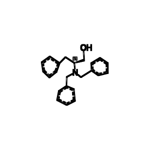 OC[C@H](Cc1ccccc1)N(Cc1ccccc1)Cc1ccccc1